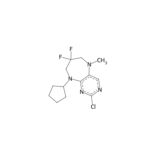 CN1CC(F)(F)CN(C2CCCC2)c2nc(Cl)ncc21